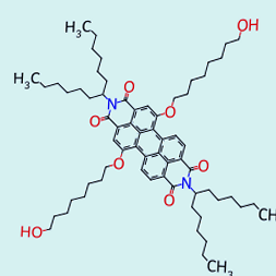 CCCCCCC(CCCCCC)N1C(=O)c2ccc3c4c(OCCCCCCCCO)cc5c6c(cc(OCCCCCCCCO)c(c7ccc(c2c37)C1=O)c64)C(=O)N(C(CCCCCC)CCCCCC)C5=O